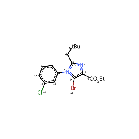 CCOC(=O)c1nc(CC(C)(C)C)n(-c2cccc(Cl)c2)c1Br